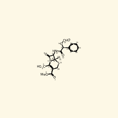 COC(=O)C1=C(C(=O)O)N2C(=O)C(NC(=O)C(OC=O)c3ccccc3)[C@@H]2SC1